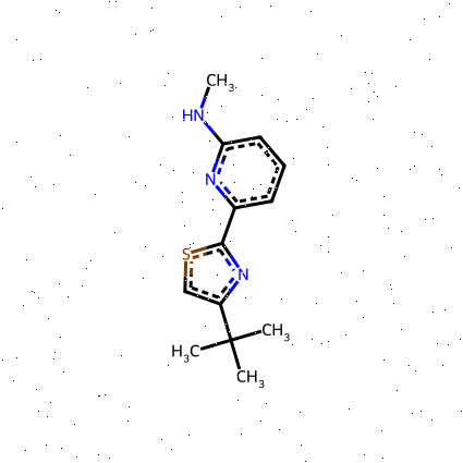 CNc1cccc(-c2nc(C(C)(C)C)cs2)n1